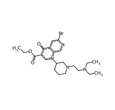 CCOC(=O)c1cn(C2CCCN(CCN(CC)CC)C2)c2cnc(Br)cc2c1=O